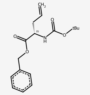 C=CC[C@H](NC(=O)OC(C)(C)C)C(=O)OCc1ccccc1